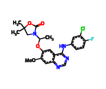 COc1cc2ncnc(Nc3ccc(F)c(Cl)c3)c2cc1OC(C)N1CC(C)(C)OC1=O